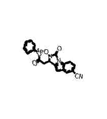 CON1C(=O)n2c(cc3cc(C#N)ccc32)C1CC(=O)Oc1ccccc1